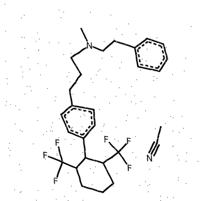 CC#N.CN(CCCc1ccc(C2C(C(F)(F)F)CCCC2C(F)(F)F)cc1)CCc1ccccc1